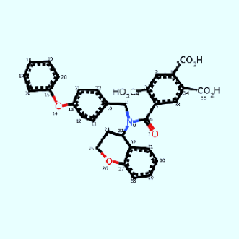 O=C(O)c1cc(C(=O)O)c(C(=O)N(Cc2ccc(Oc3ccccc3)cc2)C2CCOc3ccccc32)cc1C(=O)O